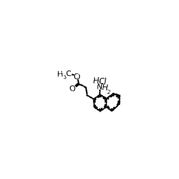 COC(=O)CCc1ccc2ccccc2c1N.Cl